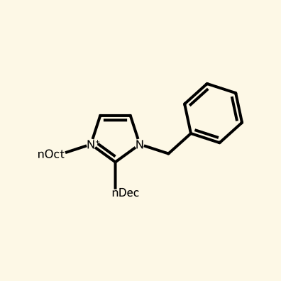 CCCCCCCCCCc1n(Cc2ccccc2)cc[n+]1CCCCCCCC